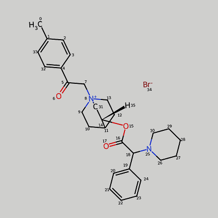 Cc1ccc(C(=O)C[N+]23CCC(CC2)[C@@H](OC(=O)C(c2ccccc2)N2CCCCC2)C3)cc1.[Br-]